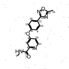 CNC(=O)c1cc(Oc2ccc(-c3noc(C)n3)cc2)ccn1